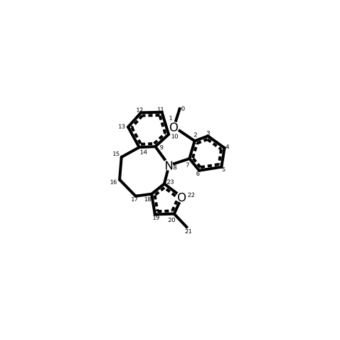 COc1ccccc1N1c2ccccc2CCCc2cc(C)oc21